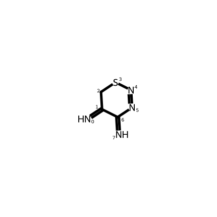 N=C1CSN=NC1=N